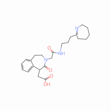 O=C(O)CC1C(=O)N(CC(=O)NCCCC2=NCCCCC2)CCc2ccccc21